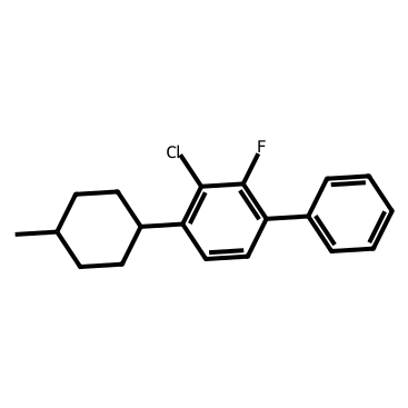 CC1CCC(c2ccc(-c3ccccc3)c(F)c2Cl)CC1